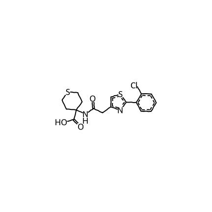 O=C(Cc1csc(-c2ccccc2Cl)n1)NC1(C(=O)O)CCSCC1